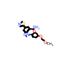 COCCOC1CCC(n2cnc3cc(-c4cncs4)cc(C(N)=O)c32)CC1